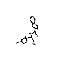 Cc1ccc(C(CN)NC(=O)c2ccc3cnccc3c2)cc1